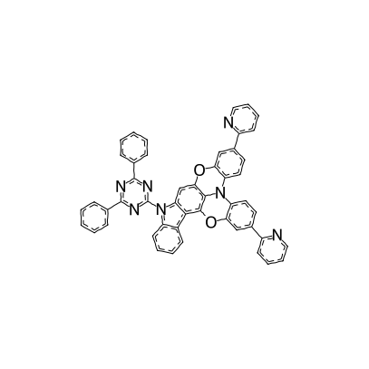 c1ccc(-c2nc(-c3ccccc3)nc(-n3c4ccccc4c4c5c6c(cc43)Oc3cc(-c4ccccn4)ccc3N6c3ccc(-c4ccccn4)cc3O5)n2)cc1